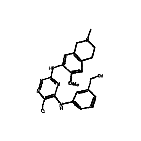 COc1cc2c(cc1Nc1nnc(Cl)c(Nc3cccc(CO)c3)n1)CN(C)CC2